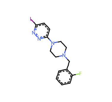 Fc1ccccc1CN1CCN(c2ccc(I)nn2)CC1